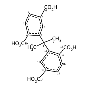 CC(C)(c1cc(C(=O)O)ccc1C(=O)O)c1cc(C(=O)O)ccc1C(=O)O